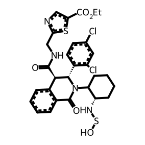 CCOC(=O)c1cnc(CNC(=O)[C@@H]2c3ccccc3C(=O)N(C3CCCC[C@@H]3NSO)[C@H]2c2ccc(Cl)cc2Cl)s1